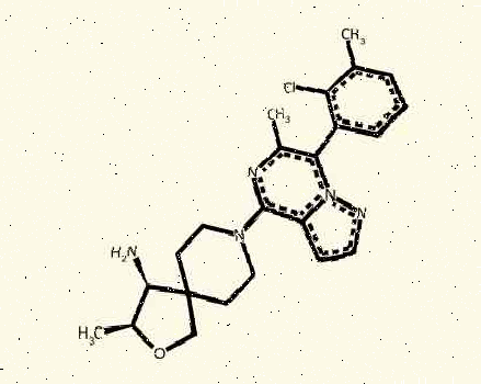 Cc1cccc(-c2c(C)nc(N3CCC4(CC3)CO[C@@H](C)[C@H]4N)c3ccnn23)c1Cl